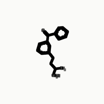 CC(CCc1cccc(C(=O)c2ccccc2)c1)C(=O)O